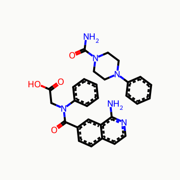 NC(=O)N1CCN(c2ccccc2)CC1.Nc1nccc2ccc(C(=O)N(CC(=O)O)c3ccccc3)cc12